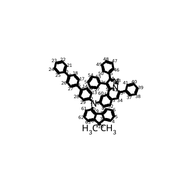 CC1(C)c2ccccc2-c2c(N(c3ccc(-c4ccc(-c5ccccc5)cc4)cc3)c3ccc4cc(-c5ccccc5)n5nc(-c6ccccc6)c(-c6ccccc6)c5c4c3)cccc21